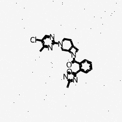 Cc1noc(-c2ccccc2C(=O)N2CC3CCN(c4ncc(Cl)c(C)n4)CC32)n1